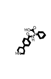 O=C(NN(C(=O)O)c1ccccc1)c1ccc(C2CCNCC2)cc1